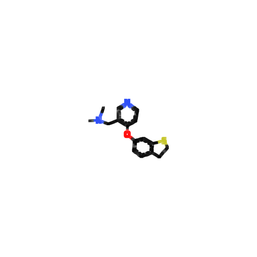 CN(C)Cc1cnccc1Oc1ccc2c(c1)SCC2